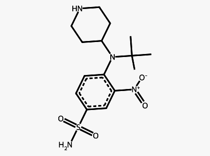 CC(C)(C)N(c1ccc(S(N)(=O)=O)cc1[N+](=O)[O-])C1CCNCC1